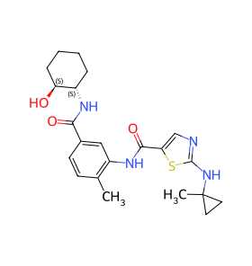 Cc1ccc(C(=O)N[C@H]2CCCC[C@@H]2O)cc1NC(=O)c1cnc(NC2(C)CC2)s1